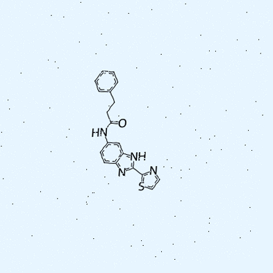 O=C(CCc1ccccc1)Nc1ccc2nc(-c3nccs3)[nH]c2c1